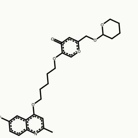 Cc1cc(OCCCCCOc2coc(COC3CCCCO3)cc2=O)c2cc(F)ccc2n1